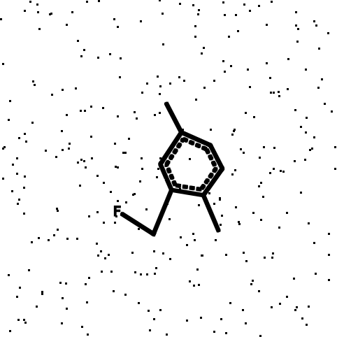 Cc1ccc(C)c(CF)c1